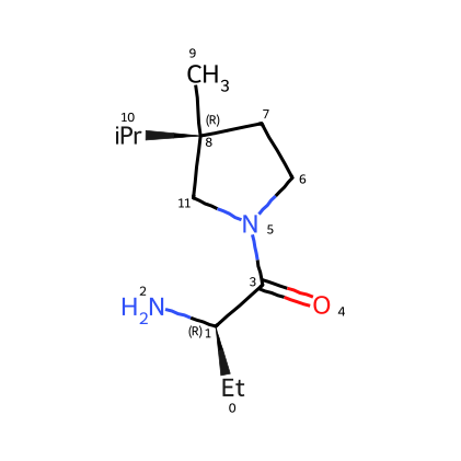 CC[C@@H](N)C(=O)N1CC[C@](C)(C(C)C)C1